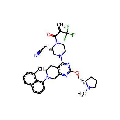 C=C(C(=O)N1CCN(c2nc(OC[C@@H]3CCCN3C)nc3c2CCN(c2cccc4cccc(C)c24)C3)C[C@@H]1CC#N)C(F)(F)F